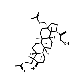 C=C(CO)[C@@H]1CC[C@]2(COC(C)=O)CC[C@]3(C)[C@H](CC[C@@H]4[C@@]5(C)CCC(=N)C(C)(COC(C)=O)[C@@H]5CC[C@]43C)[C@@H]12